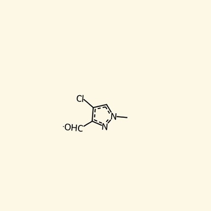 Cn1cc(Cl)c([C]=O)n1